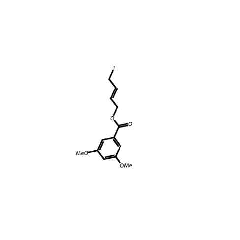 COc1cc(OC)cc(C(=O)OCC=CCI)c1